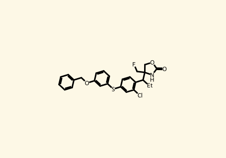 CCC(c1ccc(Sc2cccc(OCc3ccccc3)c2)cc1Cl)C1(CF)COC(=O)N1